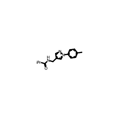 Cc1ccc(-n2cc(CNC(=O)C(C)C)cn2)cc1